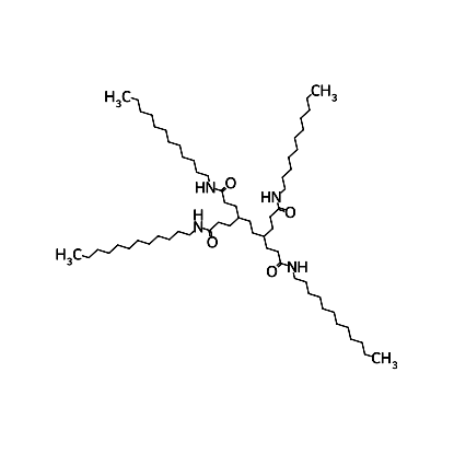 CCCCCCCCCCCCNC(=O)CCC(CCC(=O)NCCCCCCCCCCC)CCC(CCC(=O)NCCCCCCCCCCCC)CCC(=O)NCCCCCCCCCCCC